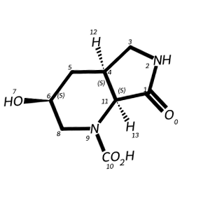 O=C1NC[C@@H]2C[C@H](O)CN(C(=O)O)[C@H]12